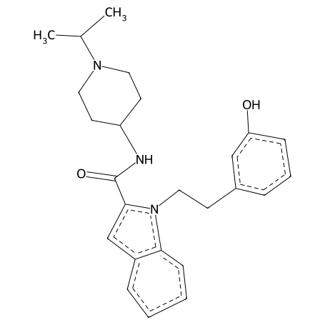 CC(C)N1CCC(NC(=O)c2cc3ccccc3n2CCc2cccc(O)c2)CC1